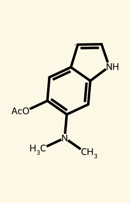 CC(=O)Oc1cc2[c]c[nH]c2cc1N(C)C